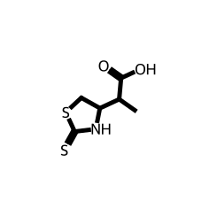 CC(C(=O)O)C1CSC(=S)N1